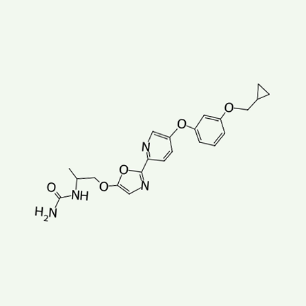 CC(COc1cnc(-c2ccc(Oc3cccc(OCC4CC4)c3)cn2)o1)NC(N)=O